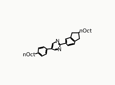 CCCCCCCCc1ccc(-c2cnc(-c3ccc4c(c3)CC(CCCCCCCC)C4)nc2)cc1